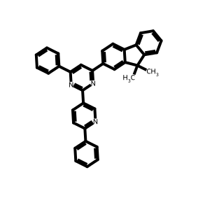 CC1(C)c2ccccc2-c2ccc(-c3cc(-c4ccccc4)nc(-c4ccc(-c5ccccc5)nc4)n3)cc21